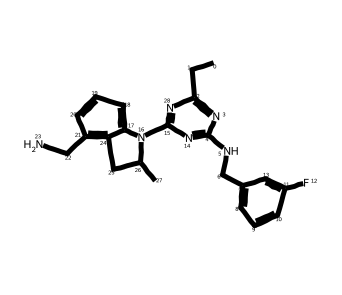 CCc1nc(NCc2cccc(F)c2)nc(N2c3cccc(CN)c3CC2C)n1